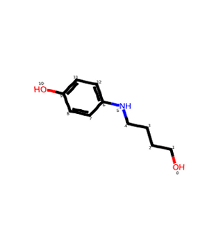 OCCCCNc1ccc(O)cc1